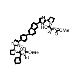 CCN(C(=O)OC)[C@@H](C(=O)N1CCC[C@H]1c1ncc(-c2ccc(-c3ccc4cc(-c5cnc([C@@H]6CCCN6C(=O)C(NC(=O)OC)C(C)C)[nH]5)ccc4c3)cc2)[nH]1)c1ccccc1